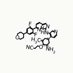 C[C@H]1C[C@@H](c2ccncc2Nc2ncc3ccc(-c4c(F)cc(C5CCOCC5)cc4F)nn23)C[C@@H](N)[C@H]1OCCC#N